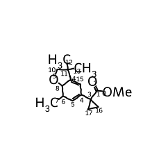 COC(=O)C1(C2=CC(C)C3OCC(C)(C)C3=C2)CC1